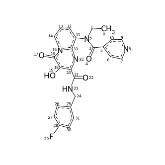 CCN(C(=O)c1ccncc1)c1cccn2c(=O)c(O)c(C(=O)NCc3ccc(F)cc3)nc12